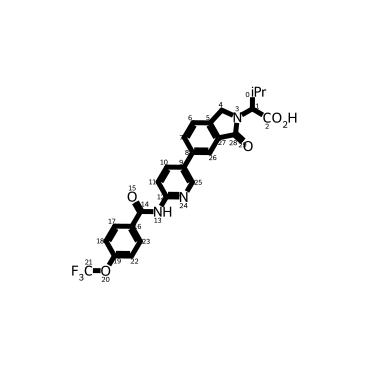 CC(C)C(C(=O)O)N1Cc2ccc(-c3ccc(NC(=O)c4ccc(OC(F)(F)F)cc4)nc3)cc2C1=O